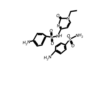 CCn1ccc(NS(=O)(=O)c2ccc(N)cc2)nc1=O.Nc1ccc(S(N)(=O)=O)cc1